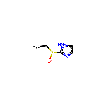 CC[S+]([O-])c1ncc[nH]1